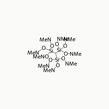 CNO[Si](ONC)(ONC)C([Si](ONC)(ONC)ONC)[Si](ONC)(ONC)ONC